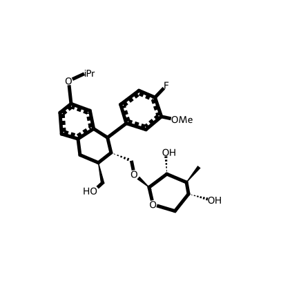 COc1cc(C2c3cc(OC(C)C)ccc3C[C@H](CO)[C@H]2CO[C@@H]2OC[C@@H](O)[C@H](C)[C@H]2O)ccc1F